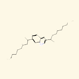 CCCCCCCCCCCCCCCCC(C)c1cnc2cc(C(C)CCCCCCCCCCCCCCCC)ccc2c1